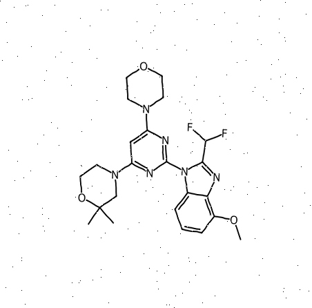 COc1cccc2c1nc(C(F)F)n2-c1nc(N2CCOCC2)cc(N2CCOC(C)(C)C2)n1